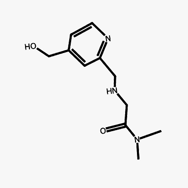 CN(C)C(=O)CNCc1cc(CO)ccn1